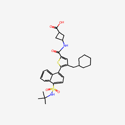 CC(C)(C)NS(=O)(=O)c1ccc(-c2sc(C(=O)NC3CC(C(=O)O)C3)cc2CC2CCCCC2)c2ccccc12